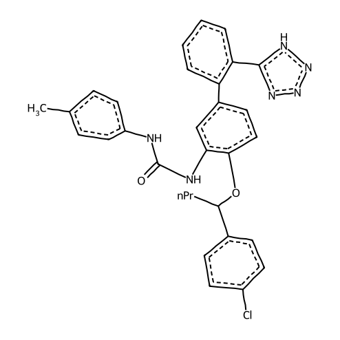 CCCC(Oc1ccc(-c2ccccc2-c2nnn[nH]2)cc1NC(=O)Nc1ccc(C)cc1)c1ccc(Cl)cc1